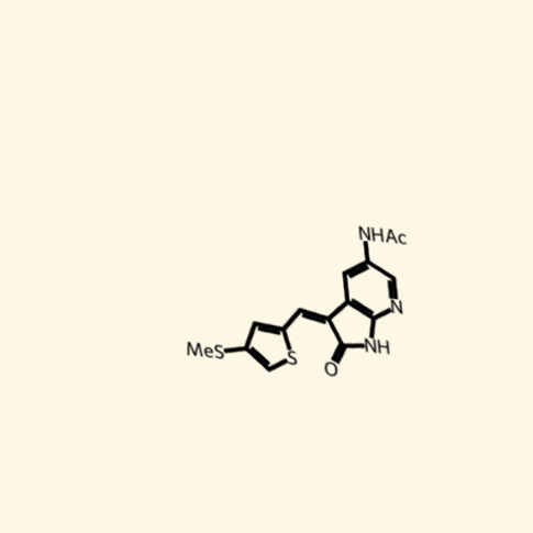 CSc1csc(C=C2C(=O)Nc3ncc(NC(C)=O)cc32)c1